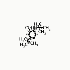 CC(C)(C)Nc1ccc(C(C)(C)C)cc1Cl